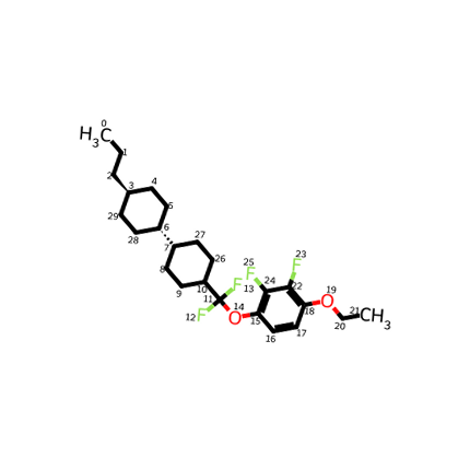 CCC[C@H]1CC[C@H](C2CCC(C(F)(F)Oc3ccc(OCC)c(F)c3F)CC2)CC1